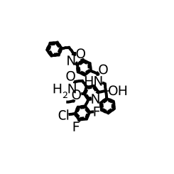 CCOc1c(CC(N)=O)cc([C@@](O)(CNC(=O)c2ccc3nc(Cc4ccccc4)oc3c2)c2ccccc2)nc1-c1cc(Cl)c(F)cc1F